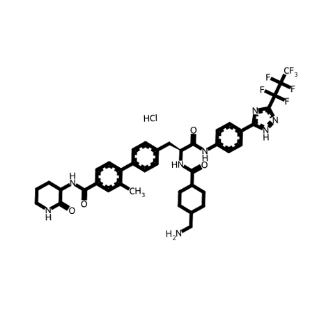 Cc1cc(C(=O)NC2CCCNC2=O)ccc1-c1ccc(C[C@H](NC(=O)C2CCC(CN)CC2)C(=O)Nc2ccc(-c3nc(C(F)(F)C(F)(F)C(F)(F)F)n[nH]3)cc2)cc1.Cl